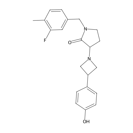 Cc1ccc(CN2CCC(N3CC(c4ccc(O)cc4)C3)C2=O)cc1F